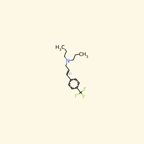 CCCN(C/C=C/c1ccc(C(F)(F)F)cc1)CCC